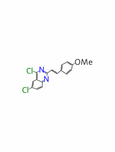 COc1ccc(C=Cc2nc(Cl)c3cc(Cl)ccc3n2)cc1